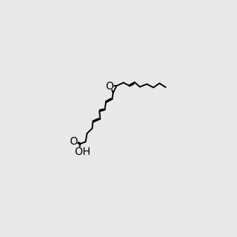 CCCCCC=CCC1OC1C=CC=CC=CCCCC(=O)O